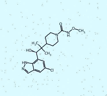 CONC(=O)N1CCC(C(C)(C)[C@H](O)c2cc(Cl)cc3cn[nH]c23)CC1